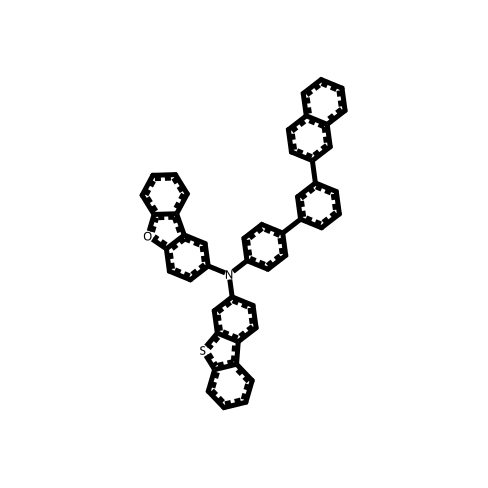 c1cc(-c2ccc(N(c3ccc4c(c3)sc3ccccc34)c3ccc4oc5ccccc5c4c3)cc2)cc(-c2ccc3ccccc3c2)c1